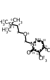 C[Si](C)(C)CCOCn1ncc(Cl)c(C(F)(F)F)c1=O